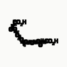 CC(COCCOCCOC(=O)CCC(=O)O)OCCOCCOC(=O)CCC(=O)O